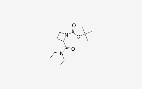 CCN(CC)C(=O)C1CCN1C(=O)OC(C)(C)C